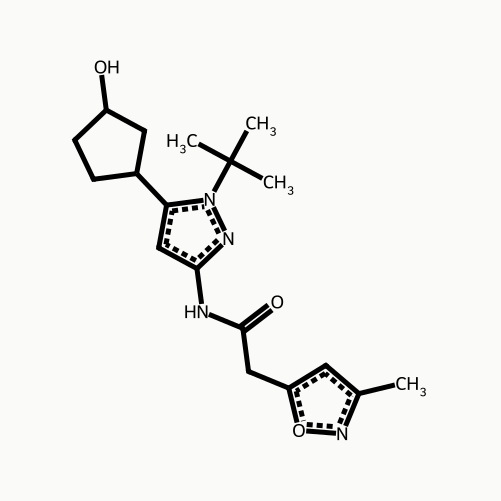 Cc1cc(CC(=O)Nc2cc(C3CCC(O)C3)n(C(C)(C)C)n2)on1